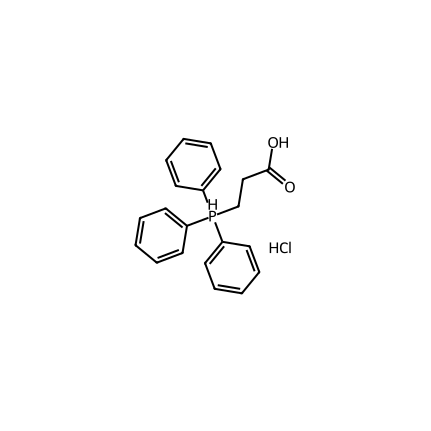 Cl.O=C(O)CC[PH](c1ccccc1)(c1ccccc1)c1ccccc1